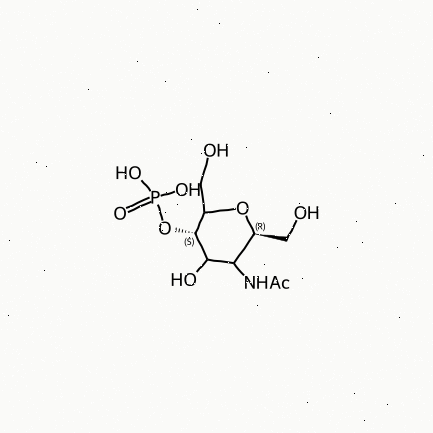 CC(=O)NC1C(O)[C@H](OP(=O)(O)O)C(CO)O[C@H]1CO